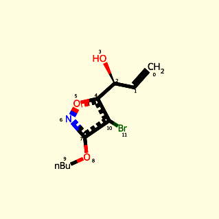 C=C[C@H](O)c1onc(OCCCC)c1Br